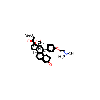 COCC(=O)[C@@]1(O)CC[C@H]2[C@@H]3CCC4=CC(=O)CCC4=C3[C@@H](c3ccc(OCCN(C)C)cc3)C[C@@]21C